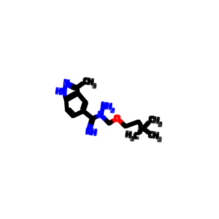 Cc1n[nH]c2ccc(C(=N)N(N)COCC[Si](C)(C)C)cc12